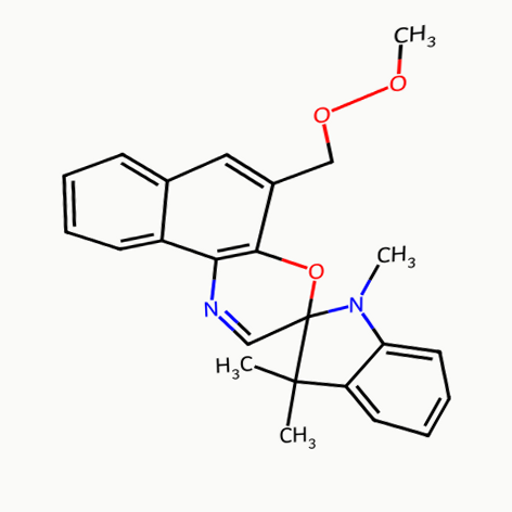 COOCc1cc2ccccc2c2c1OC1(C=N2)N(C)c2ccccc2C1(C)C